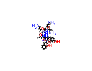 C=CC[C@H](NC(=O)[C@H](CCCCN)NC(=O)[C@H](CCCCN)NC(=O)[C@H](C)N)C(=O)N[C@@H](Cc1ccc(O)cc1)C(=O)N[C@@H](CC1CCCCC1)C(=O)O